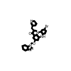 O=c1c(Cc2cccnc2)cn2c3c(cc(OCn4nnc5ccccc54)cc13)Nc1ccc(Br)cc1-2